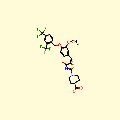 COc1cc(/C=C2/SC(N3CCC(C(=O)O)CC3)=NC2=O)ccc1OCc1ccc(C(F)(F)F)cc1C(F)(F)F